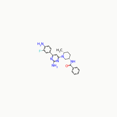 C[C@@H]1CC[C@H](NC(=O)c2ccccc2)CN1c1cc(-c2ccc(N)c(F)c2)nc(N)n1